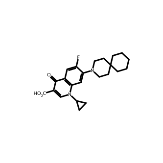 O=C(O)c1cn(C2CC2)c2cc(N3CCC4(CCCCC4)CC3)c(F)cc2c1=O